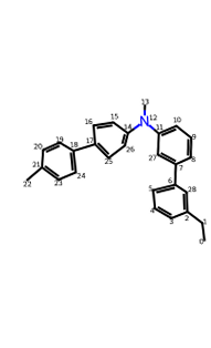 CCc1cccc(-c2cccc(N(C)c3ccc(-c4ccc(C)cc4)cc3)c2)c1